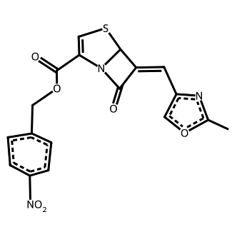 Cc1nc(C=C2C(=O)N3C(C(=O)OCc4ccc([N+](=O)[O-])cc4)=CSC23)co1